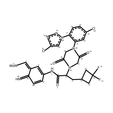 CN/C=C1/C=C(NC(=O)C(CC2CC(F)(F)C2)N2CC(=O)N(c3cc(Cl)ccc3-n3cc(Cl)nn3)CC2=O)C=CC1=N